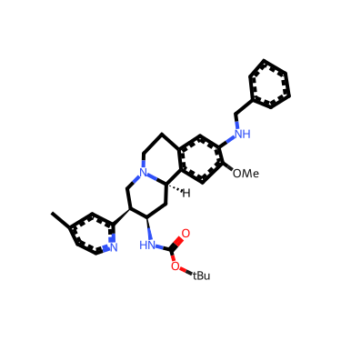 COc1cc2c(cc1NCc1ccccc1)CCN1C[C@H](c3cc(C)ccn3)[C@H](NC(=O)OC(C)(C)C)C[C@H]21